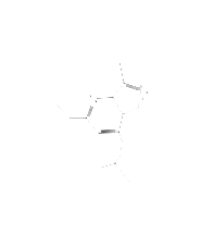 CCC1=NC2C(C)=NOC2C(OC(C)C)=C1